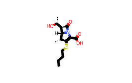 CCCCSC1=C(C(=O)O)N2C(=O)[C@H]([C@@H](C)O)[C@H]2[C@H]1C